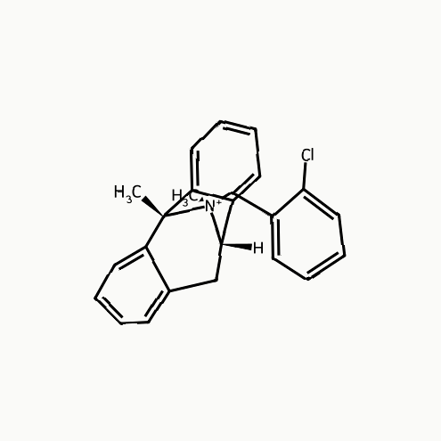 C[C@@]12c3ccccc3C[C@@H](c3ccccc31)[N@@+]2(C)Cc1ccccc1Cl